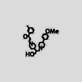 COc1ccc(C2CCN(CC(CO)C3CCN(C=CC(=O)c4cccc(C)c4)CC3)CC2)cc1